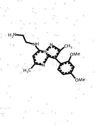 COc1ccc(-c2c(C)nn3c(NCCN)cc(C)nc23)c(OC)c1